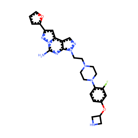 Nc1nc2c(cnn2CCN2CCN(c3ccc(OC4CNC4)cc3F)CC2)c2cc(-c3ccco3)nn12